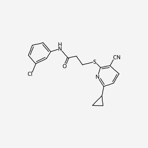 N#Cc1ccc(C2CC2)nc1SCCC(=O)Nc1cccc(Cl)c1